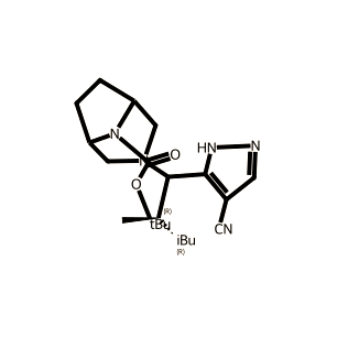 CC[C@@H](C)[C@@H](C)C(c1[nH]ncc1C#N)N1CC2CCC(C1)N2C(=O)OC(C)(C)C